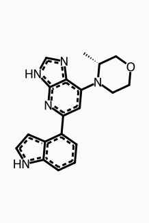 C[C@@H]1COCCN1c1cc(-c2cccc3[nH]ccc23)nc2[nH]cnc12